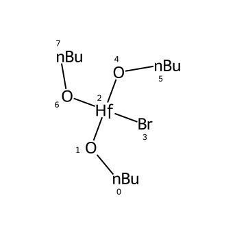 CCCC[O][Hf]([Br])([O]CCCC)[O]CCCC